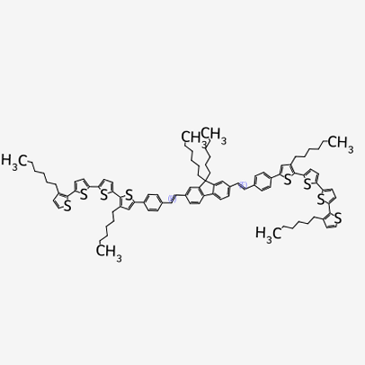 CCCCCCc1ccsc1-c1ccc(-c2ccc(-c3sc(-c4ccc(/C=C/c5ccc6c(c5)C(CCCCCC)(CCCCCC)c5cc(/C=C/c7ccc(-c8cc(CCCCCC)c(-c9ccc(-c%10ccc(-c%11sccc%11CCCCCC)s%10)s9)s8)cc7)ccc5-6)cc4)cc3CCCCCC)s2)s1